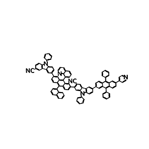 N#Cc1ccc2c(c1)c1cc(-c3ccc4c(-c5cccc6ccccc56)c5ccc(-c6cc7c(cc6C#N)c6cc(-c8ccc9c(-c%10ccccc%10)c%10cc(-c%11ccncc%11)ccc%10c(-c%10ccccc%10)c9c8)ccc6n7-c6ccccc6)cc5c(-c5cccc6cccnc56)c4c3)ccc1n2-c1ccccc1